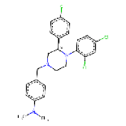 CN(C)c1ccc(CN2CCN(c3ccc(Cl)cc3Cl)[C@H](c3ccc(Cl)cc3)C2)cc1